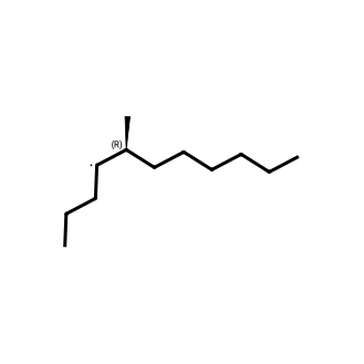 CCC[CH][C@@H](C)CCCCCC